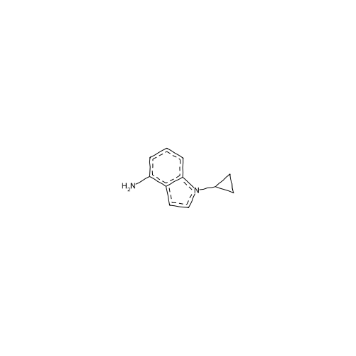 Nc1cccc2c1ccn2C1CC1